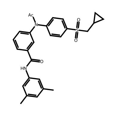 CC(=O)N(c1ccc(S(=O)(=O)CC2CC2)cc1)c1cccc(C(=O)Nc2cc(C)cc(C)c2)c1